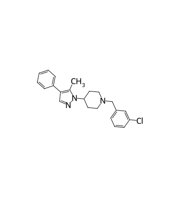 Cc1c(-c2ccccc2)cnn1C1CCN(Cc2cccc(Cl)c2)CC1